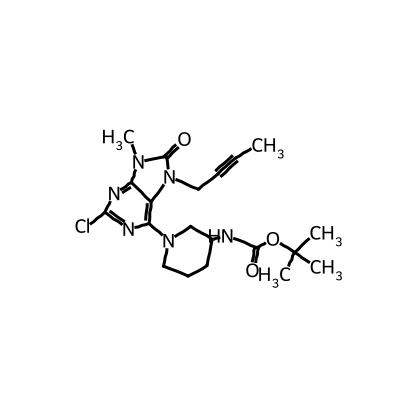 CC#CCn1c(=O)n(C)c2nc(Cl)nc(N3CCCC(NC(=O)OC(C)(C)C)C3)c21